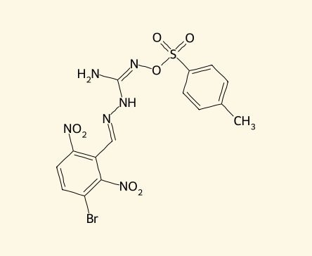 Cc1ccc(S(=O)(=O)ON=C(N)NN=Cc2c([N+](=O)[O-])ccc(Br)c2[N+](=O)[O-])cc1